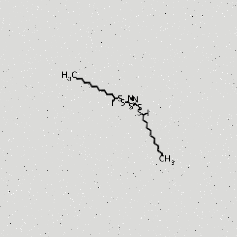 CCCCCCCCCCCC(I)SSc1nnc(SSC(I)CCCCCCCCCCC)s1